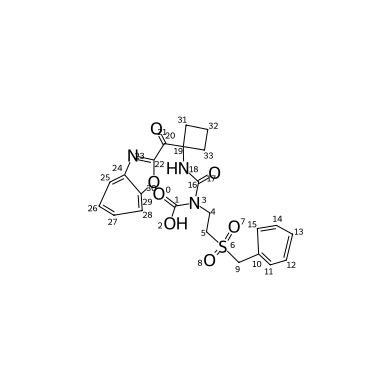 O=C(O)N(CCS(=O)(=O)Cc1ccccc1)C(=O)NC1(C(=O)c2nc3ccccc3o2)CCC1